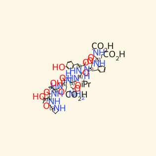 CC(C)C[C@H](NC(=O)[C@H](CC(N)=O)NC(=O)[C@H](CCC(=O)O)NC(=O)[C@@H](NC(=O)[C@@H](NC(=O)[C@@H]1CCCN1)[C@@H](C)O)[C@@H](C)O)C(=O)N[C@@H](Cc1ccc(O)cc1)C(=O)N[C@@H](Cc1ccccc1)C(=O)N[C@@H](CCC(=O)O)C(=O)NCC(=O)O